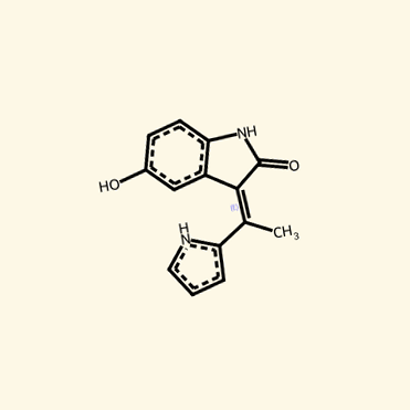 C/C(=C1\C(=O)Nc2ccc(O)cc21)c1ccc[nH]1